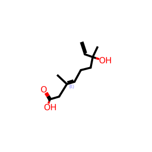 C=CC(C)(O)CC/C=C(\C)CC(=O)O